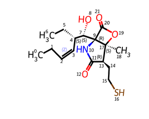 CC/C=C\[C@H](CC)[C@H](O)[C@@]12NC(=O)[C@H](CCS)[C@]1(C)OC2=O